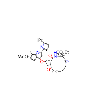 CCOC(=O)C12CC1/C=C\CCCCC(C)C(=O)C1CC(Oc3cc(-c4cccc(C(C)C)n4)nc4c(C)c(OC)ccc34)CC1C(=O)N2